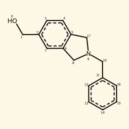 OCc1ccc2c(c1)CN(Cc1ccccc1)C2